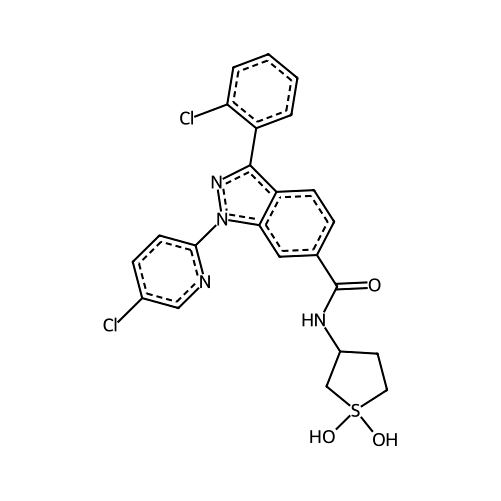 O=C(NC1CCS(O)(O)C1)c1ccc2c(-c3ccccc3Cl)nn(-c3ccc(Cl)cn3)c2c1